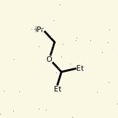 CCC(CC)OC[C](C)C